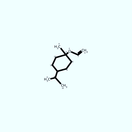 C=COC1(C)CCC(C(C)C)CC1